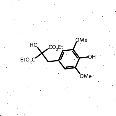 CCOC(=O)C(O)(Cc1cc(OC)c(O)c(OC)c1)C(=O)OCC